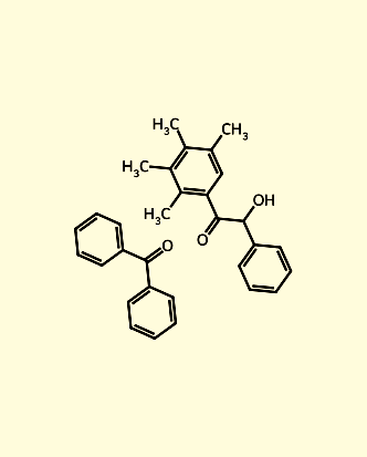 Cc1cc(C(=O)C(O)c2ccccc2)c(C)c(C)c1C.O=C(c1ccccc1)c1ccccc1